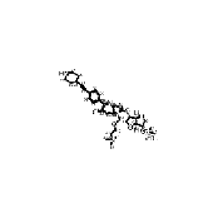 CC(C)(C)[Si](C)(C)OC1CO[C@H]2[C@@H]1OC[C@H]2Oc1nc2nc(-c3ccc(C#CC4CCNCC4)cc3)c(Cl)cc2n1COCC[Si](C)(C)C